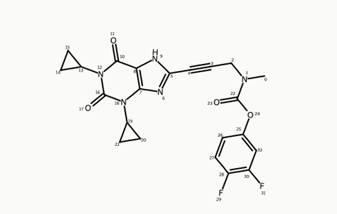 CN(CC#Cc1nc2c([nH]1)c(=O)n(C1CC1)c(=O)n2C1CC1)C(=O)Oc1ccc(F)c(F)c1